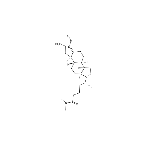 CCON=C1CC[C@H]2[C@@H]3CC[C@H]([C@H](C)CCCC(=O)N(C)C)[C@@]3(C)CC[C@@H]2[C@@]1(C)CCC(=O)O